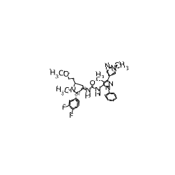 COCCC1C[C@@H](NC(=O)Nc2c(C)c(-c3cnn(C)c3)nn2-c2ccccc2)[C@H](c2ccc(F)c(F)c2)N1C